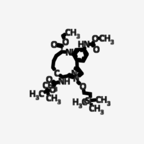 CCOC(=O)[C@H]1CCCC[C@H](NC(=O)OC(C)(C)C)c2nc(cn2COCC[Si](C)(C)C)-c2ccc(NC(=O)OC)cc2N1